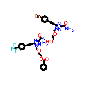 NC(=O)c1nc(C#Cc2ccc(Br)cc2)n(COCCO)n1.NC(=O)c1nc(C#Cc2ccc(C(F)(F)F)cc2)n(COCCOC(=O)c2ccccc2)n1